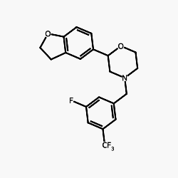 Fc1cc(CN2CCOC(c3ccc4c(c3)CCO4)C2)cc(C(F)(F)F)c1